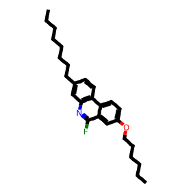 CCCCCCCCc1ccc2c(c1)nc(F)c1cc(OCCCCCC)ccc12